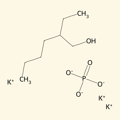 CCCCC(CC)CO.O=P([O-])([O-])[O-].[K+].[K+].[K+]